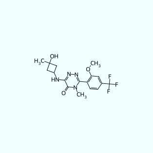 COc1cc(C(F)(F)F)ccc1-c1nnc(NC2CC(C)(O)C2)c(=O)n1C